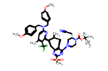 COc1ccc(CN(Cc2ccc(OC)cc2)c2cc(C)c(C(F)(F)F)c(C3Cc4nc(S(C)(=O)=O)nc(N5CCN(C(=O)OC(C)(C)C)[C@@H](CC#N)C5)c4CC3C)n2)cc1